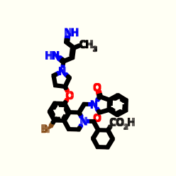 C/C(C=N)=C/C(=N)N1CCC(Oc2ccc(Br)c3c2C(CN2Cc4ccccc4C2=O)N(C(=O)C2CCCCC2C(=O)O)CC3)C1